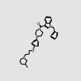 CC1CCCN(CCCOc2ccc(N3CCN(C(=O)c4cn(Cc5ccccc5)c5ccccc45)CC3)cc2)C1